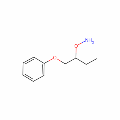 CCC(COc1ccccc1)ON